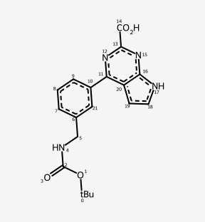 CC(C)(C)OC(=O)NCc1cccc(-c2nc(C(=O)O)nc3[nH]ccc23)c1